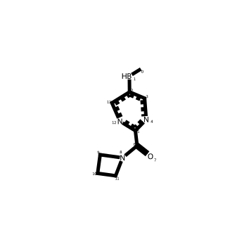 CBc1cnc(C(=O)N2CCC2)nc1